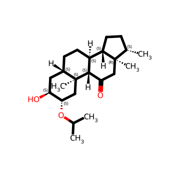 CC(C)O[C@H]1C[C@@]2(C)[C@@H](CC[C@H]3[C@@H]4CC[C@H](C)[C@@]4(C)CC(=O)[C@@H]32)C[C@@H]1O